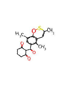 CC1=Cc2c(C)c(C(=O)C3C(=O)CCCC3=O)cc(C)c2OS1